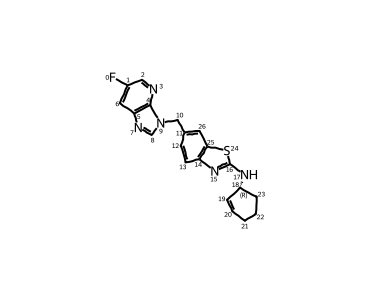 Fc1cnc2c(c1)ncn2Cc1ccc2nc(N[C@H]3C=CCCC3)sc2c1